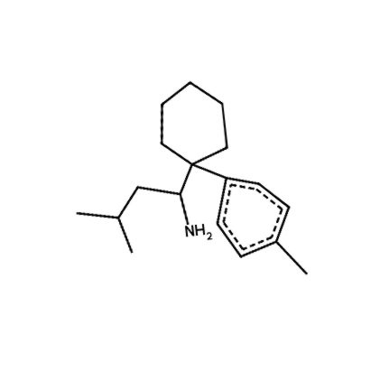 Cc1ccc(C2(C(N)CC(C)C)CCCCC2)cc1